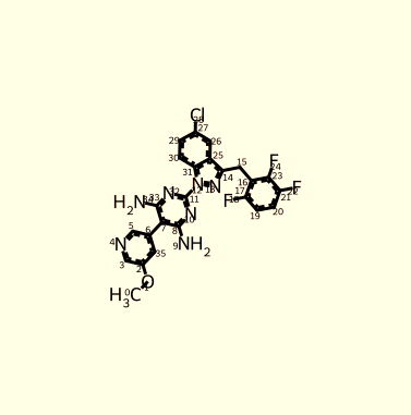 COc1cncc(-c2c(N)nc(-n3nc(Cc4c(F)ccc(F)c4F)c4cc(Cl)ccc43)nc2N)c1